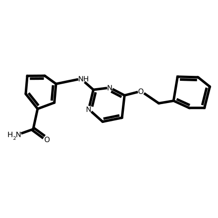 NC(=O)c1cccc(Nc2nccc(OCc3ccccc3)n2)c1